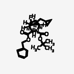 CC(C)(C)OC(=O)N1[C@H](C(=O)OCc2ccccc2)[C@@H]2CC[C@H]1[C@H](CC1CC1)[C@H]2F